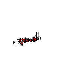 Cc1cc(S(=O)(=O)N2CCC(CN(C)C3CCN(c4cccc5c4n(C)c(=O)n5C4CCC(=O)NC4=O)CC3)CC2)ccc1Nc1ncc(C(F)(F)F)c(-c2cnn(C)c2)n1